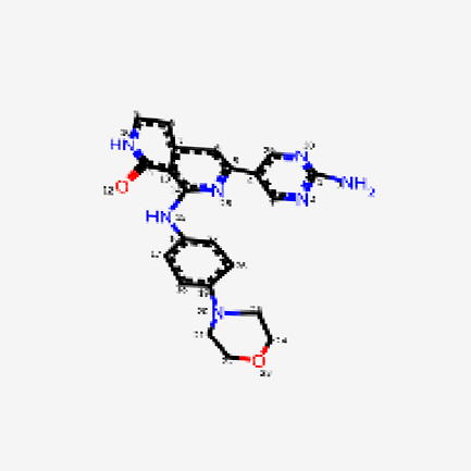 Nc1ncc(-c2cc3cc[nH]c(=O)c3c(Nc3ccc(N4CCOCC4)cc3)n2)cn1